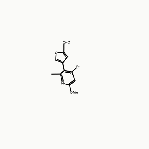 CCc1cc(OC)nc(C)c1-c1coc(C=O)c1